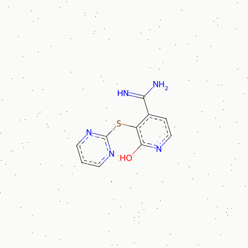 N=C(N)c1ccnc(O)c1Sc1ncccn1